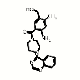 Cc1cc(N)c(C(=O)N2CCN(c3ncnc4ccccc34)CC2)cc1CO